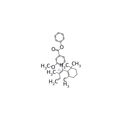 C=C/C(C)=C(\C1=C(C)CCCC1(C)C)c1ccc(C(=O)Oc2ccccc2)cc1OC